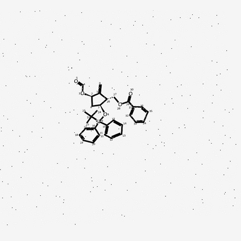 C=C1[C@H](OC=O)C[C@H](O[Si](c2ccccc2)(c2ccccc2)C(C)(C)C)[C@H]1COC(=O)c1ccccc1